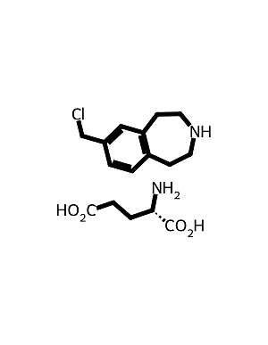 ClCc1ccc2c(c1)CCNCC2.N[C@@H](CCC(=O)O)C(=O)O